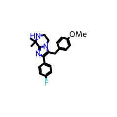 COc1ccc(Cc2c(-c3ccc(F)cc3)nc3n2CCNC3(C)C)cc1